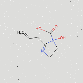 C=CCC1=NCC[N+]1(O)C(=O)O